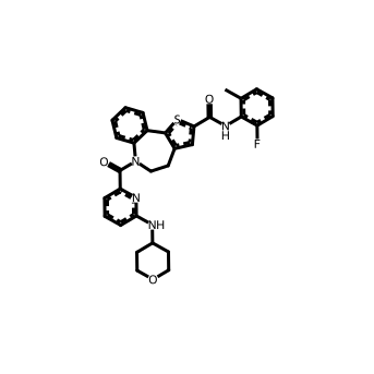 Cc1cccc(F)c1NC(=O)c1cc2c(s1)-c1ccccc1N(C(=O)c1cccc(NC3CCOCC3)n1)CC2